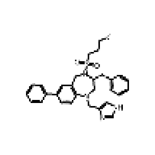 O=S(=O)(CCCCl)N1Cc2cc(-c3ccccc3)ccc2N(Cc2c[nH]cn2)CC1Cc1ccccc1